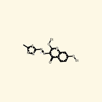 CCOc1ccc2c(=O)c(/N=N/c3nnc(C)s3)c(OCC)oc2c1